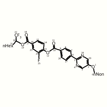 CCCCCCCCCOc1cnc(-c2ccc(C(=O)Oc3ccc(C(=O)OC(CCCCCC)C(F)(F)F)cc3F)cc2)nc1